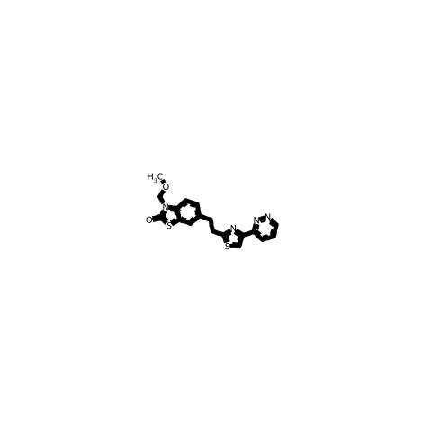 COCn1c(=O)sc2cc(CCc3nc(-c4cccnn4)cs3)ccc21